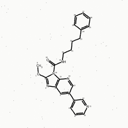 COc1nc2cc(-c3cccnc3)cnc2n1C(=O)NCCCCc1ccccc1